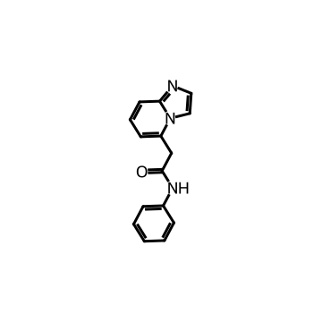 O=C(Cc1cccc2nccn12)Nc1ccccc1